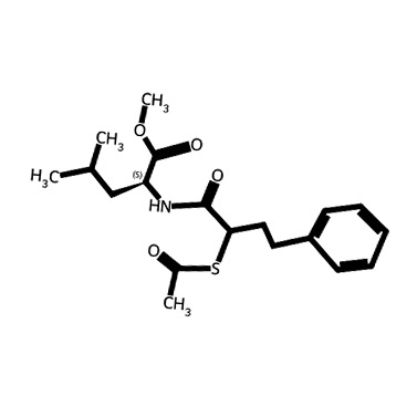 COC(=O)[C@H](CC(C)C)NC(=O)C(CCc1ccccc1)SC(C)=O